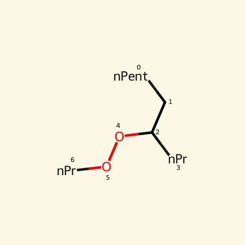 CCCCCCC(CCC)OOCCC